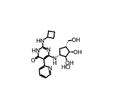 Cl.O=c1[nH]c(NC2CCC2)nc(N[C@@H]2C[C@H](CO)[C@@H](O)[C@H]2O)c1-c1ccccn1